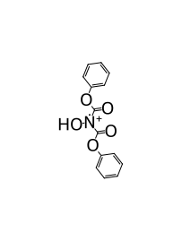 O=C(Oc1ccccc1)[N+](O)C(=O)Oc1ccccc1